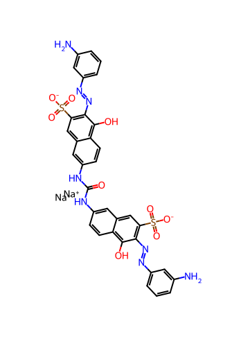 Nc1cccc(N=Nc2c(S(=O)(=O)[O-])cc3cc(NC(=O)Nc4ccc5c(O)c(N=Nc6cccc(N)c6)c(S(=O)(=O)[O-])cc5c4)ccc3c2O)c1.[Na+].[Na+]